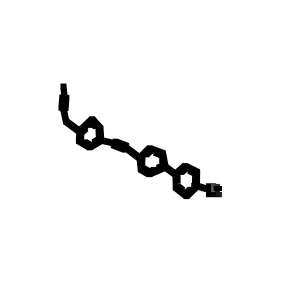 CC#CCc1ccc(C#Cc2ccc(-c3ccc(CC)cc3)cc2)cc1